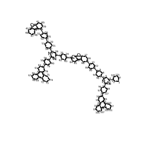 c1ccc(-c2cc(-c3ccc(-c4ccc(-c5ccc6oc7cc(-c8ccc(-c9cc(-c%10ccc(-c%11ccc(-c%12cccc%13oc%14ccccc%14c%12%13)cc%11)cc%10)nc(-c%10ccc(-c%11ccc%12c%13ccccc%13c%13ccccc%13c%12c%11)cc%10)n9)cc8)ccc7c6c5)cc4)cc3)nc(-c3ccc(-c4ccc5c6ccccc6c6ccccc6c5c4)cc3)n2)cc1